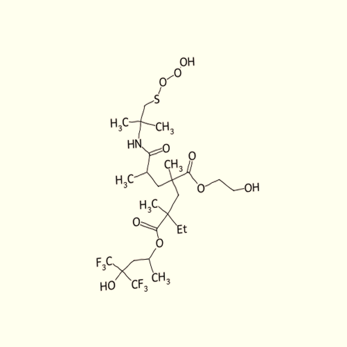 CCC(C)(CC(C)(CC(C)C(=O)NC(C)(C)CSOOO)C(=O)OCCO)C(=O)OC(C)CC(O)(C(F)(F)F)C(F)(F)F